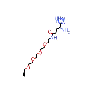 C#CCOCCOCCOCCOCCNC(=O)CC[C@H](N)c1nn[nH]n1